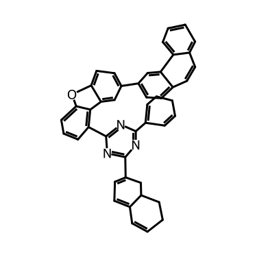 C1=CC(c2nc(C3=CC=C4C=CCCC4C3)nc(-c3cccc4oc5ccc(-c6ccc7ccc8ccccc8c7c6)cc5c34)n2)=CCC1